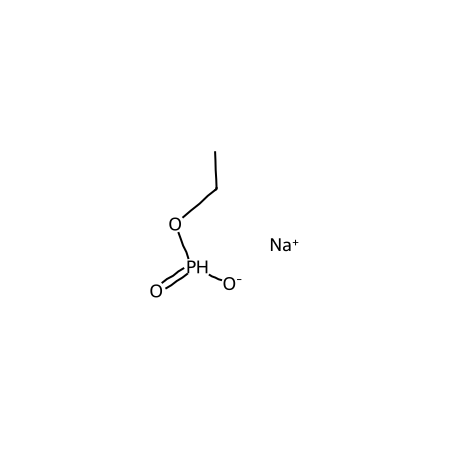 CCO[PH](=O)[O-].[Na+]